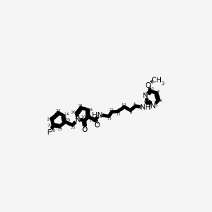 COc1ccnc(NCCCCCCNC(=O)c2cccn(Cc3cccc(F)c3)c2=O)n1